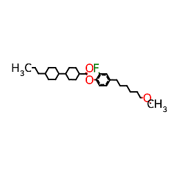 CCCC1CCC(C2CCC(C(=O)Oc3ccc(CCCCCCOC)cc3F)CC2)CC1